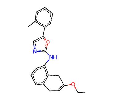 CCOC1=CCc2cccc(Nc3ncc(-c4ccccc4C)o3)c2C1